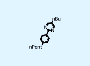 CCCCCc1ccc(-c2ncc(CCCC)cn2)cc1